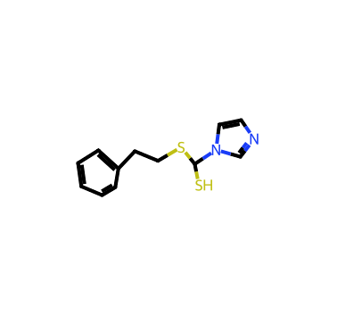 SC(SCCc1ccccc1)n1ccnc1